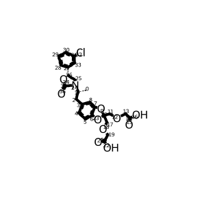 C[C@H](Cc1ccc2c(c1)OC(COCC(=O)O)(COCC(=O)O)O2)N1C[C@@H](c2cccc(Cl)c2)OC1=O